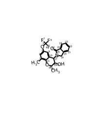 Cc1cc(OC(F)(F)F)cc2c1O[C@@H](C)[C@H](O)C2N1Cc2ccccc2C1=O